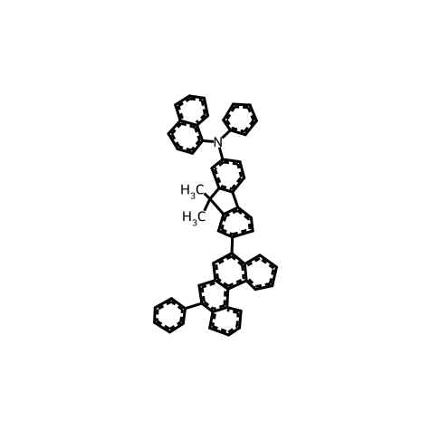 CC1(C)c2cc(-c3cc4cc(-c5ccccc5)c5ccccc5c4c4ccccc34)ccc2-c2ccc(N(c3ccccc3)c3cccc4ccccc34)cc21